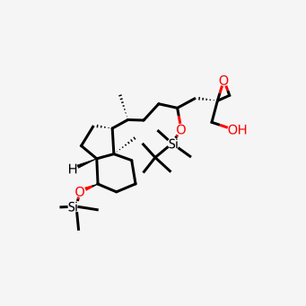 C[C@H](CCC(C[C@@]1(CO)CO1)O[Si](C)(C)C(C)(C)C)[C@H]1CC[C@H]2[C@H](O[Si](C)(C)C)CCC[C@]12C